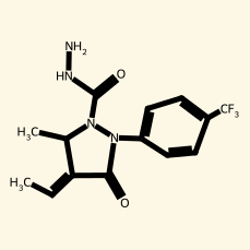 C[C]=C1C(=O)N(c2ccc(C(F)(F)F)cc2)N(C(=O)NN)C1C